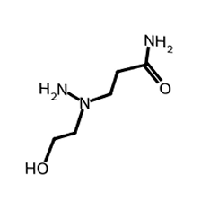 NC(=O)CCN(N)CCO